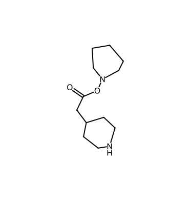 O=C(CC1CCNCC1)ON1CCCCC1